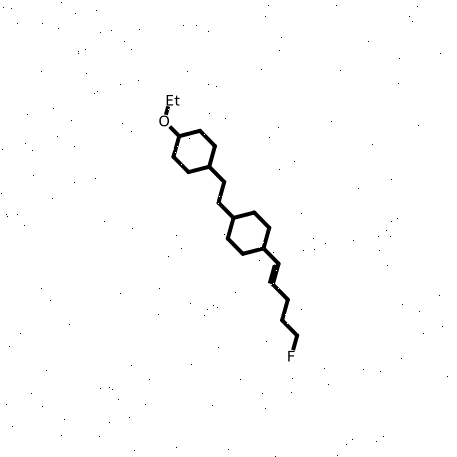 CCOC1CCC(CCC2CCC(C=CCCCF)CC2)CC1